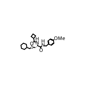 COc1ccc(CNC(=O)[C@H](CSCC2CCCCC2)NC(=O)C2CCC2)cc1